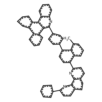 Cc1cccc2c(-c3ccc4ccc5ccc(-c6ccccc6)nc5c4n3)ccc(-c3ccc(-c4nc5ccccc5c5c6ccccc6c6ccccc6c45)cc3)c12